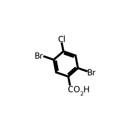 O=C(O)c1cc(Br)c(Cl)cc1Br